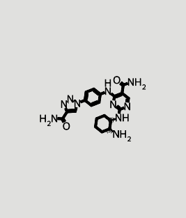 NC(=O)c1cn(-c2ccc(Nc3nc(N[C@@H]4CCCC[C@@H]4N)ncc3C(N)=O)cc2)nn1